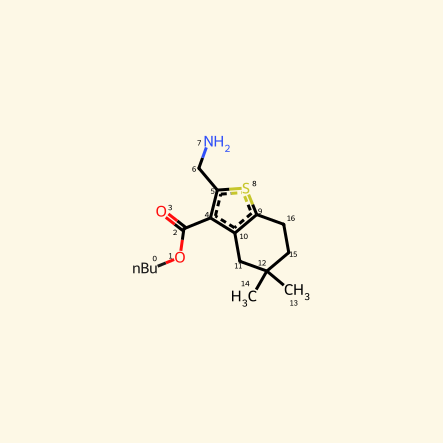 CCCCOC(=O)c1c(CN)sc2c1CC(C)(C)CC2